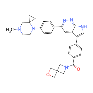 CN1CCN(c2ccc(-c3cc4c(-c5ccc(C(=O)N6CC7(COC7)C6)cc5)c[nH]c4nn3)cc2)C2(CC2)C1